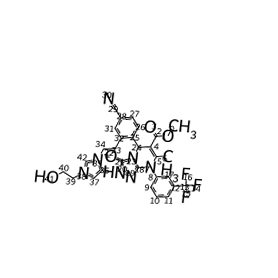 COC(=O)C1=C(C)N(c2cccc(C(F)(F)F)c2)c2n[nH]c(=O)n2C1c1ccc(C#N)cc1CC[n+]1ccn(CCO)c1